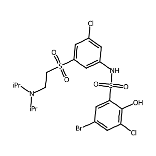 CC(C)N(CCS(=O)(=O)c1cc(Cl)cc(NS(=O)(=O)c2cc(Br)cc(Cl)c2O)c1)C(C)C